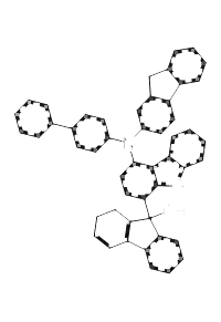 CC1(c2ccc(N(c3ccc(-c4ccccc4)cc3)c3ccc4c(c3)Cc3ccccc3-4)c3c2oc2ccccc23)C2=C(C=CCC2)c2ccccc21